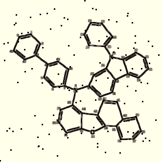 c1ccc(-c2ccc(N(c3ccc4c5ccccc5n(-c5ccccc5)c4c3)c3cncc4oc5c6ccccc6ccc5c34)cc2)cc1